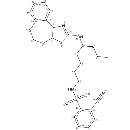 CCC[C@@H](CCCCNS(=O)(=O)c1ccccc1C#N)NC1=NC2c3ccccc3SCCC2S1